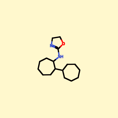 C1CCCC(C2CCCCCC2NC2=NCCO2)CC1